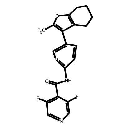 O=C(Nc1ccc(-c2c(C(F)(F)F)oc3c2CCCC3)cn1)c1c(F)cncc1F